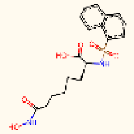 O=C(CCCCC[C@H](NS(=O)(=O)c1cccc2ccccc12)C(=O)O)NO